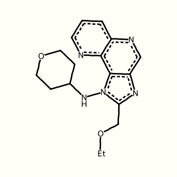 CCOCc1nc2cnc3cccnc3c2n1NC1CCOCC1